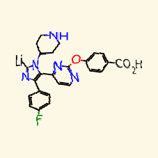 [Li][c]1nc(-c2ccc(F)cc2)c(-c2ccnc(Oc3ccc(C(=O)O)cc3)n2)n1C1CCNCC1